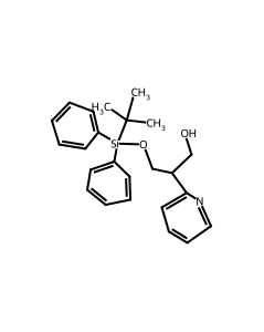 CC(C)(C)[Si](OCC(CO)c1ccccn1)(c1ccccc1)c1ccccc1